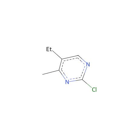 CCc1cnc(Cl)nc1C